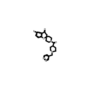 O=C1CC2(CCN(C(=O)C3CCN(Cc4ccnnc4)CC3)CC2)Oc2ccc(F)cc21